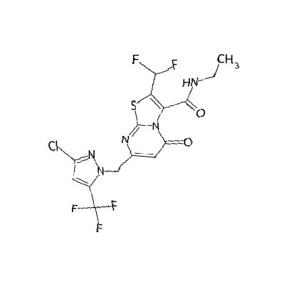 CCNC(=O)c1c(C(F)F)sc2nc(Cn3nc(Cl)cc3C(F)(F)F)cc(=O)n12